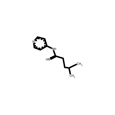 CC(C)CCC(=N)Nc1ccncc1